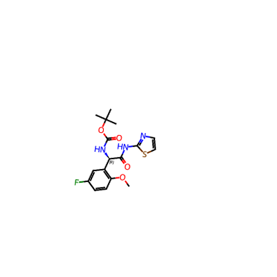 COc1ccc(F)cc1[C@@H](NC(=O)OC(C)(C)C)C(=O)Nc1nccs1